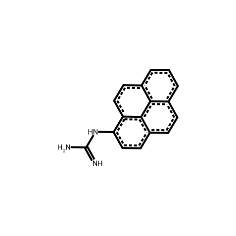 N=C(N)Nc1ccc2ccc3cccc4ccc1c2c34